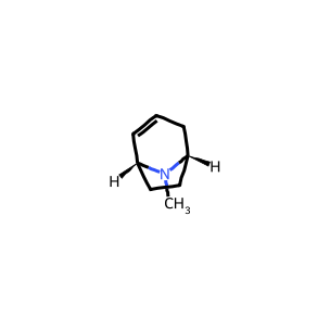 CN1[C@@H]2CC=C[C@H]1CC2